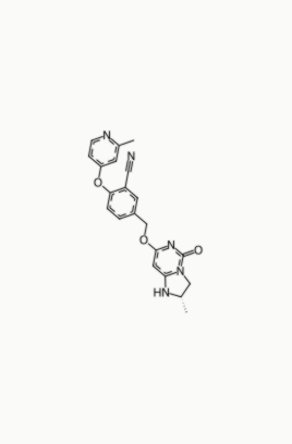 Cc1cc(Oc2ccc(COc3cc4n(c(=O)n3)C[C@H](C)N4)cc2C#N)ccn1